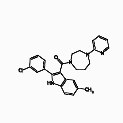 Cc1ccc2[nH]c(-c3cccc(Cl)c3)c(C(=O)N3CCCN(c4ccccn4)CC3)c2c1